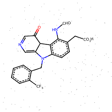 O=CNc1c(CC(=O)O)ccc2c1C1C(=O)C=NC=C1N2Cc1ccccc1C(F)(F)F